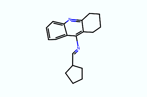 C(=N\c1c2c(nc3ccccc13)CCCC2)/C1CCCC1